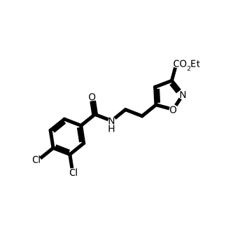 CCOC(=O)c1cc(CCNC(=O)c2ccc(Cl)c(Cl)c2)on1